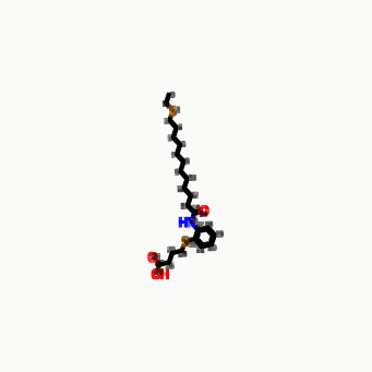 CCSCCCCCCCCCCCC(=O)Nc1ccccc1SCCCC(=O)O